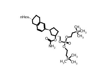 CCCCCC[C@@H]1CCc2cc([C@H]3CC[C@@](COP(=O)(OCC[Si](C)(C)C)OCC[Si](C)(C)C)(OC(N)=O)C3)ccc2C1